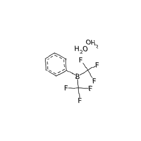 FC(F)(F)B(c1ccccc1)C(F)(F)F.O.O